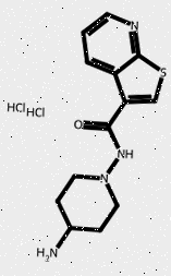 Cl.Cl.NC1CCN(NC(=O)c2csc3ncccc23)CC1